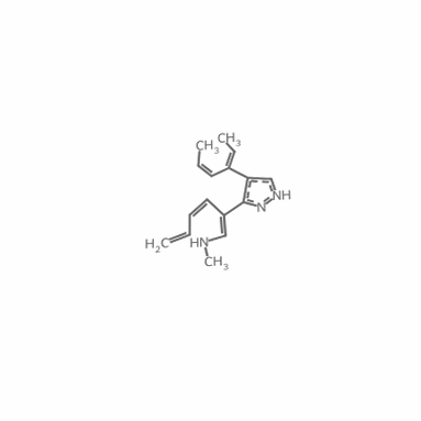 C=C/C=C\C(=C/NC)c1n[nH]cc1C(/C=C\C)=C/C